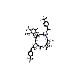 CC[C@H]1OC(=O)[C@H](C)[C@@H](OC(=O)Cc2ccc(C(F)(F)F)cc2)[C@H](C)[C@@H](OC2OC(C)CC(N(C)C)C2O)[C@](C)(OC)C[C@@H](C)/C(=N\N=C(/C)c2ccc(C(F)(F)F)cc2)[C@H](C)[C@@H](O)[C@]1(C)O